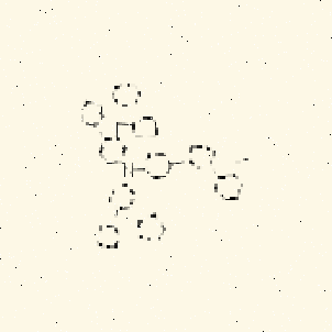 C=Cc1ccccc1-c1cccc(-c2ccc(N(c3ccc(-c4ccccc4-c4ccccc4)cc3)c3ccc4c(c3)C(c3ccccc3)(c3ccccc3)c3ccccc3-4)cc2)c1C